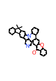 CC1(C)c2ccccc2-c2cc3c4cnccc4n(-c4ccccc4-c4ccc5c(=O)c6ccccc6oc5c4)c3cc21